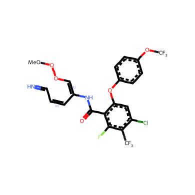 COOO/C=C(\C=C/C=N)NC(=O)c1c(Oc2ccc(OC(F)(F)F)cc2)cc(Cl)c(C(F)(F)F)c1F